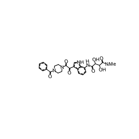 CNC(=O)C(O)C(O)C(=O)Nc1cccc2c(C(=O)C(=O)N3CCN(C(=O)c4ccccc4)CC3)c[nH]c12